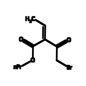 C/C=C(/C(=O)CBr)C(=O)OCCC